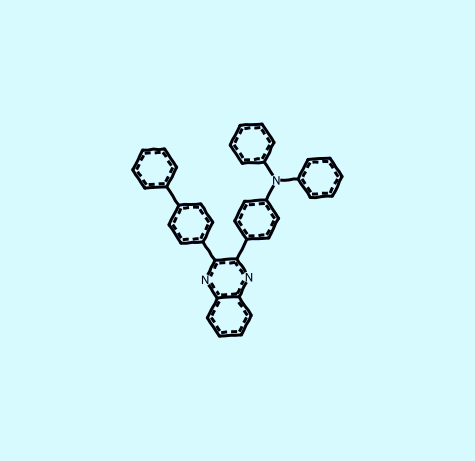 c1ccc(-c2ccc(-c3nc4ccccc4nc3-c3ccc(N(c4ccccc4)c4ccccc4)cc3)cc2)cc1